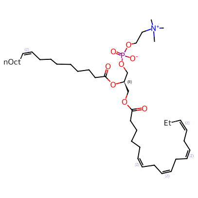 CC/C=C\C/C=C\C/C=C\C/C=C\CCCCC(=O)OC[C@H](COP(=O)([O-])OCC[N+](C)(C)C)OC(=O)CCCCCCC/C=C\CCCCCCCC